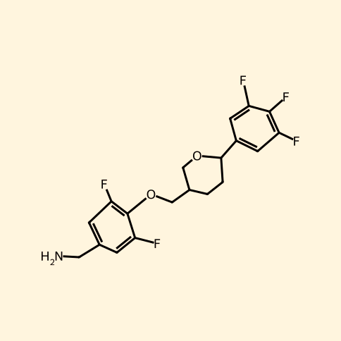 NCc1cc(F)c(OCC2CCC(c3cc(F)c(F)c(F)c3)OC2)c(F)c1